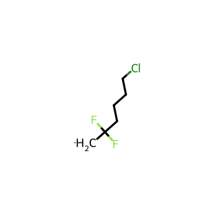 [CH2]C(F)(F)CCCCCl